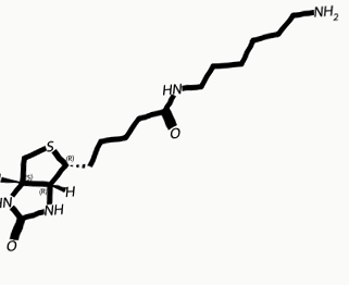 NCCCCCCNC(=O)CCCC[C@H]1SC[C@H]2NC(=O)N[C@H]21